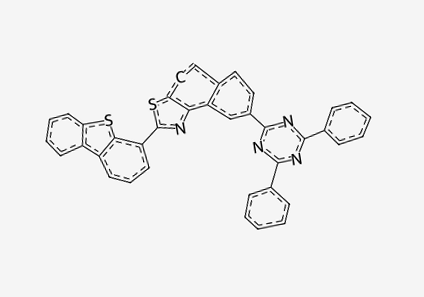 c1ccc(-c2nc(-c3ccccc3)nc(-c3ccc4ccc5sc(-c6cccc7c6sc6ccccc67)nc5c4c3)n2)cc1